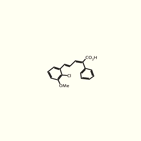 COc1cccc(C=CC=C(C(=O)O)c2ccccc2)c1Cl